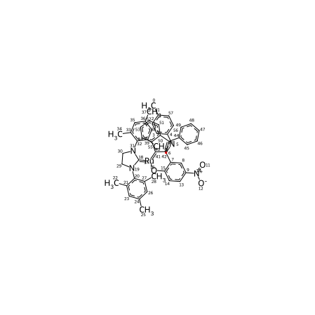 Cc1ccc(N=Cc2cc([N+](=O)[O-])ccc2[O]/[Ru](=[C]2N(c3c(C)cc(C)cc3C)CCN2c2c(C)cc(C)cc2C)=[C]2\C=C(c3ccccc3)c3ccccc32)cc1